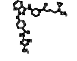 Cc1c[nH]c(NC(=O)c2ccc(On3nc(N[C@@H]4CCCN(C(=O)/C=C/CN(C)C5CC5)C4)c4cccnc43)cc2)n1